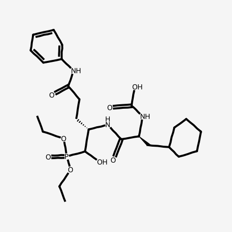 CCOP(=O)(OCC)C(O)[C@H](CCC(=O)Nc1ccccc1)NC(=O)[C@H](CC1CCCCC1)NC(=O)O